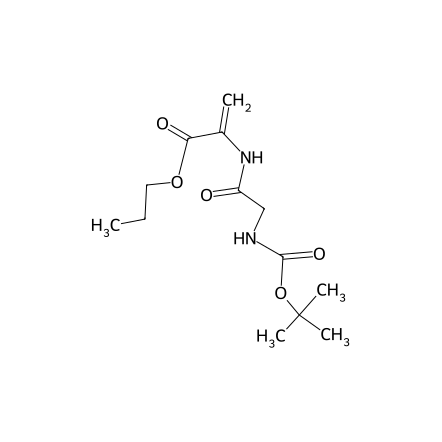 C=C(NC(=O)CNC(=O)OC(C)(C)C)C(=O)OCCC